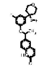 CCSC1(c2cc(F)cc(OC(C)c3ccc4[nH]c(=O)ccc4c3)c2)CCOCC1